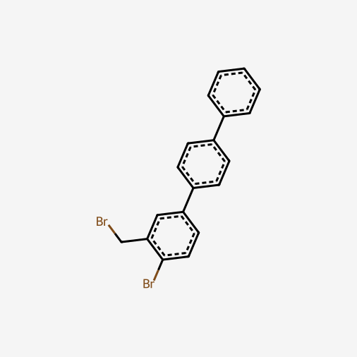 BrCc1cc(-c2ccc(-c3ccccc3)cc2)ccc1Br